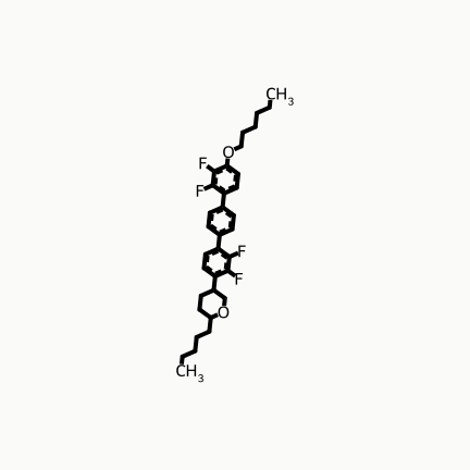 CCCCCCOc1ccc(-c2ccc(-c3ccc(C4CCC(CCCCC)OC4)c(F)c3F)cc2)c(F)c1F